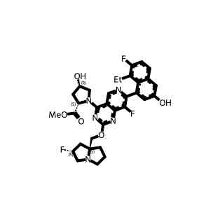 CCc1c(F)ccc2cc(O)cc(-c3ncc4c(N5C[C@H](O)C[C@H]5C(=O)OC)nc(OC[C@@]56CCCN5C[C@H](F)C6)nc4c3F)c12